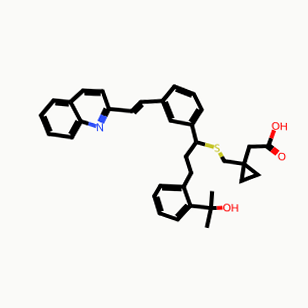 CC(C)(O)c1ccccc1CCC(SCC1(CC(=O)O)CC1)c1cccc(/C=C/c2ccc3ccccc3n2)c1